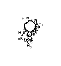 CCCCOC[C@](C)(O)C[C@H]1C=C[C@@H]2[C@@H](C(=O)C(Cl)(Cl)C(=O)[C@H](C)C(=O)C[C@@H](C)/C=C/C=C\[C@H]2C)[C@@H]1CC